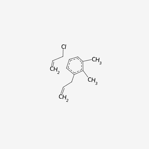 C=CCCl.C=CCc1cccc(C)c1C